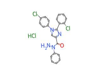 Cl.NN(C(=O)c1cn(-c2ccc(Cl)cc2)c(-c2ccccc2Cl)n1)c1ccccc1